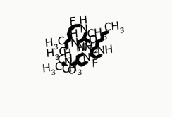 CCCCCC1NCC(F)C(N2CCC(C(=O)NC(C)(C)C)CC2)C1NC(=O)C1C(C)NC/C(F)=C\C=C(\C(C)CC)NC1N